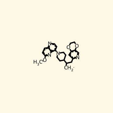 [CH2]C(Cc1cc2c(cn1)OCCO2)C1CCN(c2ccnc3ccc(OC)nc23)CC1